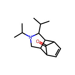 CC(C)C1C2C3C=CC(C3=O)C2CN1C(C)C